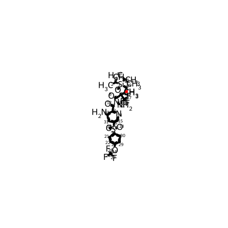 CC(C)[Si](OC(C)(C(=O)N(N)C(=O)c1ncc(S(=O)(=O)c2ccc(OC(F)(F)F)cc2)cc1N)C(F)(F)F)(C(C)C)C(C)C